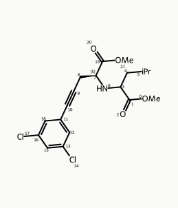 COC(=O)C(CC(C)C)N[C@@H](CC#Cc1cc(Cl)cc(Cl)c1)C(=O)OC